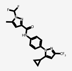 Cc1cc(C(=O)Nc2ccc(-n3nc(C(F)(F)F)cc3C3CC3)cc2)nn1C(F)F